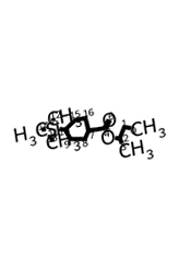 CCC(C)OC(=O)C1CCC([Si](C)(C)C)CC1